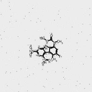 Cc1c(F)cc(N(C)C(=O)OC(C)(C)C)c2[nH]c3nc([SH](=O)=O)nc([SH](=O)=O)c3c12